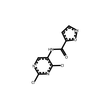 O=C(Nc1cnc(Cl)nc1Cl)c1ccno1